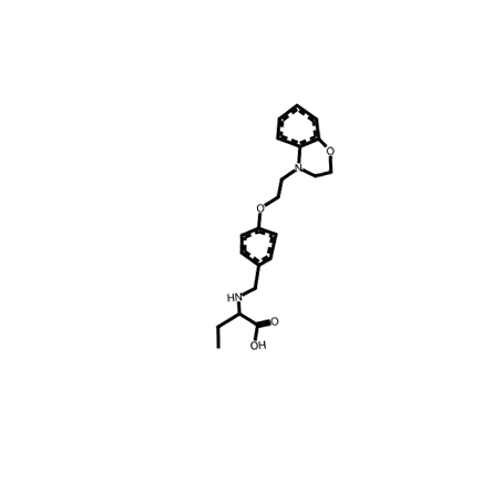 CCC(NCc1ccc(OCCN2CCOc3ccccc32)cc1)C(=O)O